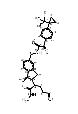 CNC(=O)C(CCC=O)N1Cc2cc(CNC(=O)C(=O)c3ccc(C4(C(F)(F)F)CC4)cc3)ccc2C1=O